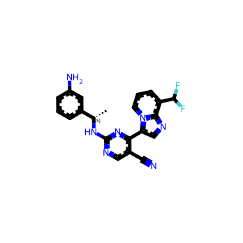 C[C@H](Nc1ncc(C#N)c(-c2cnc3c(C(F)F)cccn23)n1)c1cccc(N)c1